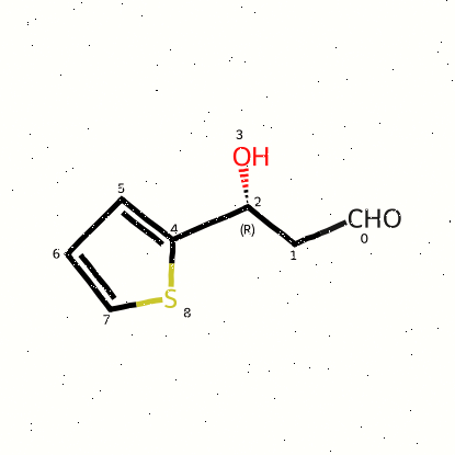 O=CC[C@@H](O)c1cccs1